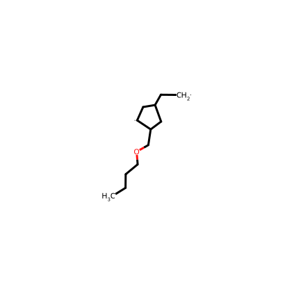 [CH2]CC1C[CH]C(COCCCC)C1